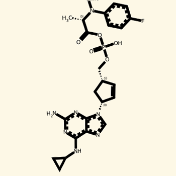 CON(c1ccc(F)cc1)[C@@H](C)C(=O)OP(=O)(O)OC[C@@H]1C=C[C@H](n2cnc3c(NC4CC4)nc(N)nc32)C1